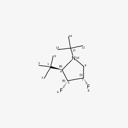 CC(C)(C)[C@@H]1[C@@H](F)[C@@H](F)CN1C(C)(C)C